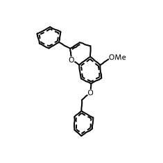 COc1cc(OCc2ccccc2)cc2c1CC=C(c1ccccc1)O2